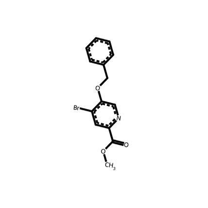 COC(=O)c1cc(Br)c(OCc2ccccc2)cn1